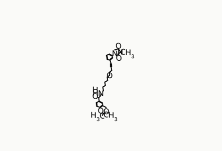 CN1C(=O)CN(c2cccc(C#CCCOCCCCCCNC[C@H](O)c3ccc4c(c3)COC(C)(C)O4)c2)C1=O